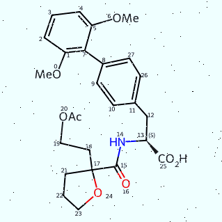 COc1cccc(OC)c1-c1ccc(C[C@H](NC(=O)C2(CCOC(C)=O)CCCO2)C(=O)O)cc1